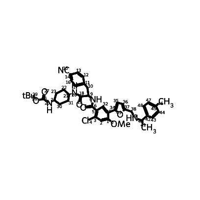 COc1cc(Cl)c(C(=O)NC(Cc2ccc(C#N)cc2)C(=O)N[C@H]2CC[C@H](NC(=O)OC(C)(C)C)CC2)cc1-c1ccc(CNC(C)c2ccc(C)cc2)o1